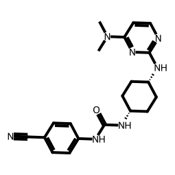 CN(C)c1ccnc(N[C@H]2CC[C@@H](NC(=O)Nc3ccc(C#N)cc3)CC2)n1